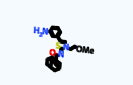 COCCn1cc(-c2cccc(N)c2)sc1=NC(=O)C12CC3CC(CC(C3)C1)C2